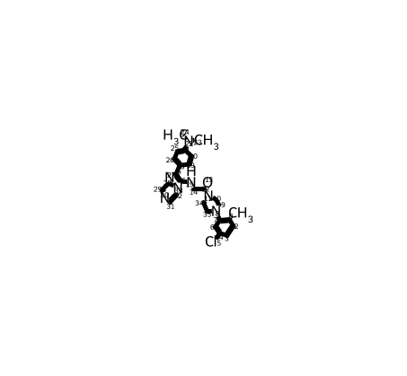 Cc1ccc(Cl)cc1N1CCN(C(=O)CNc2c(-c3ccc(N(C)C)cc3)nc3cnccn23)CC1